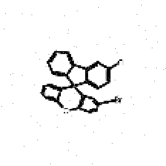 Clc1ccc2c(c1)-c1ccccc1C21c2ccccc2Oc2ccc(Br)cc21